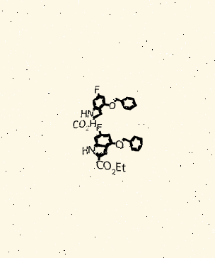 CCOC(=O)c1cc2c(OCc3ccccc3)cc(F)cc2[nH]1.O=C(O)c1cc2c(OCc3ccccc3)cc(F)cc2[nH]1